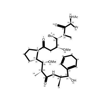 CC[C@H](C)[C@@H]([C@@H](CC(=O)N1CCC[C@H]1[C@H](OC)[C@@H](C)C(=O)N[C@H](C)[C@@H](O)C1=CCCC=C1)OC)N(C)C(=O)[C@@H](NC(C)=O)C(C)C